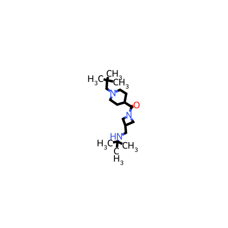 CC(C)(C)CN1CCC(C(=O)N2CC(CNC(C)(C)C)C2)CC1